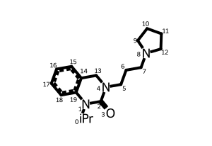 CC(C)N1C(=O)N(CCCN2CCCC2)Cc2ccccc21